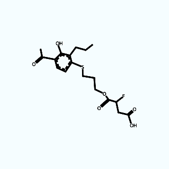 CCCc1c(SCCCOC(=O)C(F)CC(=O)O)ccc(C(C)=O)c1O